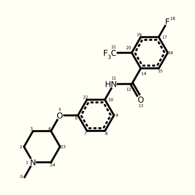 CN1CCC(Oc2cccc(NC(=O)c3ccc(F)cc3C(F)(F)F)c2)CC1